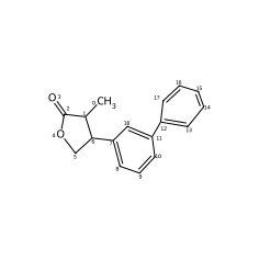 CC1C(=O)OCC1c1cccc(-c2ccccc2)c1